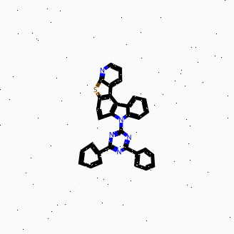 c1ccc(-c2nc(-c3ccccc3)nc(-n3c4ccccc4c4c5c(ccc43)sc3ncccc35)n2)cc1